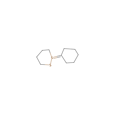 C1CCC(=S2CCCCS2)CC1